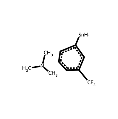 CN(C)C.FC(F)(F)c1ccc[c]([SnH])c1